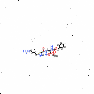 CC(C)(C)OC(=O)C(CNC(=O)c1nnc(CCCCN)s1)NC(=O)OCc1ccccc1